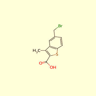 Cc1c(C(=O)O)sc2ccc(CBr)cc12